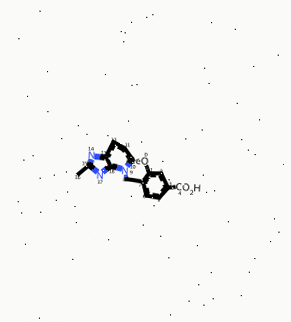 COc1cc(C(=O)O)ccc1Cn1cccc2nc(C)nc1-2